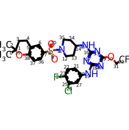 CC1(C)CCc2cc(S(=O)(=O)N3CCC(Nc4nc(Nc5ccc(F)c(Cl)c5)nc(OCC(F)(F)F)n4)CC3)ccc2O1